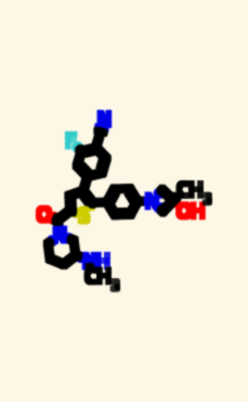 CNC1CCCN(C(=O)c2cc(-c3ccc(C#N)c(F)c3)c(-c3ccc(N4CC(C)(O)C4)cc3)s2)C1